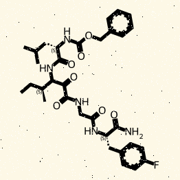 CC[C@H](C)C(NC(=O)[C@H](CC(C)C)NC(=O)OCc1ccccc1)C(=O)C(=O)NCC(=O)N[C@@H](Cc1ccc(F)cc1)C(N)=O